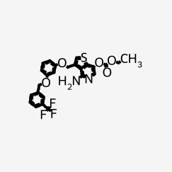 CCOC(=O)Oc1cnc(N)c2c(COc3cccc(OCc4cccc(C(F)(F)F)c4)c3)csc12